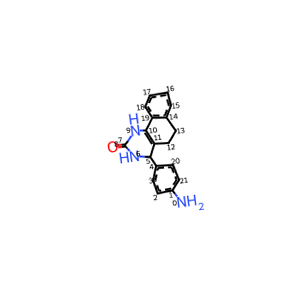 Nc1ccc(C2NC(=O)NC3=C2CCc2ccccc23)cc1